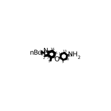 CCCCn1cc2c(C)c(O[C@H]3CC[C@@H](N)CC3)ccc2n1